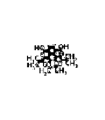 C=COCC(CC(=O)C(=C)C)c1c(C(=O)O)ccc(C(=O)O)c1C(COC=C)CC(=O)C(=C)C